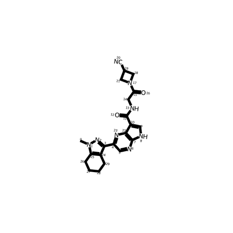 Cn1nc(-c2cnc3[nH]cc(C(=O)NCC(=O)N4CC(C#N)C4)c3n2)c2c1CCCC2